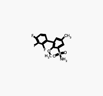 COc1c(-c2ccc(F)c(I)c2F)cc(C)cc1S(N)(=O)=O